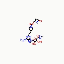 CCNC(=O)[C@H]1O[C@@H](n2cnc3c(N)nc(CCC4CCN(C(=O)OCC5CCC(=O)N5C)CC4)nc32)C(O)C1O